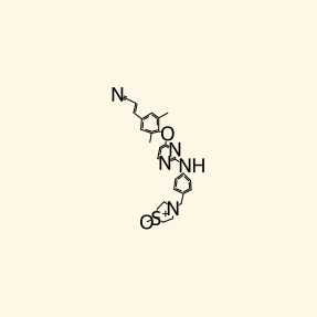 Cc1cc(/C=C/C#N)cc(C)c1Oc1ccnc(Nc2ccc(CN3CC[S+]([O-])CC3)cc2)n1